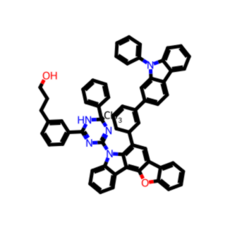 CC1(c2ccccc2)N=C(n2c3ccccc3c3c4oc5ccccc5c4cc(C4C=C(c5ccc6c7ccccc7n(-c7ccccc7)c6c5)C=CC4)c32)N=C(c2cccc(CCCO)c2)N1